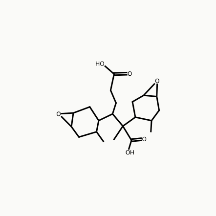 CC1CC2OC2CC1C(CCC(=O)O)C(C)(C(=O)O)C1CC2OC2CC1C